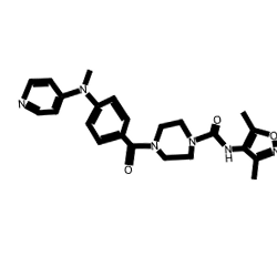 Cc1noc(C)c1NC(=O)N1CCN(C(=O)c2ccc(N(C)c3ccncc3)cc2)CC1